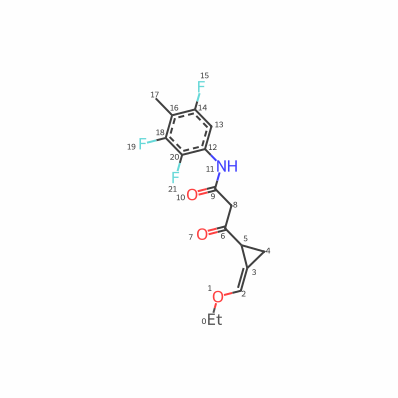 CCOC=C1CC1C(=O)CC(=O)Nc1cc(F)c(C)c(F)c1F